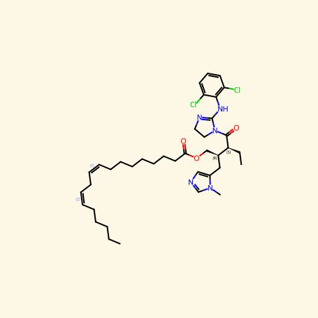 CCCCC/C=C\C/C=C\CCCCCCCC(=O)OC[C@H](Cc1cncn1C)[C@H](CC)C(=O)N1CCN=C1Nc1c(Cl)cccc1Cl